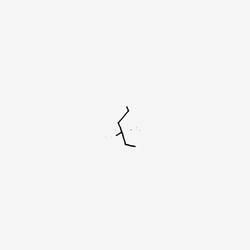 CC(C)(C)CC[C@@](C)(C#N)CC(C)(C)C